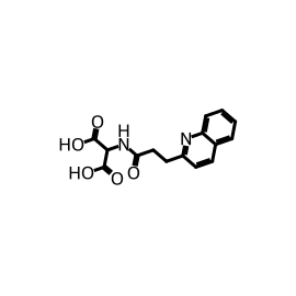 O=C(CCc1ccc2ccccc2n1)NC(C(=O)O)C(=O)O